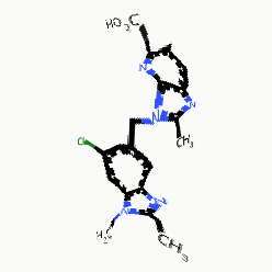 Cc1nc2cc(Cn3c(C)nc4ccc(C(=O)O)nc43)c(Cl)cc2n1C